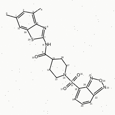 Cc1cc(C)c2nc(NC(=O)C3CCN(S(=O)(=O)c4cccc5nonc45)CC3)sc2c1